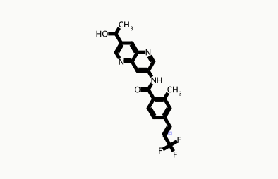 Cc1cc(/C=C/C(F)(F)F)ccc1C(=O)Nc1cnc2cc(C(C)O)cnc2c1